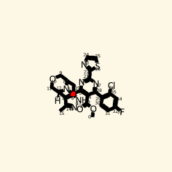 COC(=O)c1c(CN2C3COC[C@H]2c2c(C)n[nH]c2C3)nc(-c2nccs2)nc1-c1ccc(F)cc1Cl